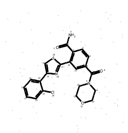 NC(=O)c1ccc(C(=O)N2CCOCC2)cc1-c1nc(-c2ccccc2Cl)cs1